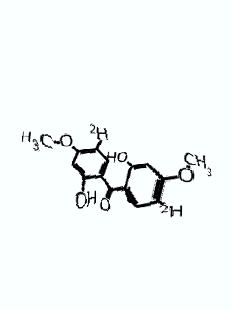 [2H]c1cc(C(=O)c2cc([2H])c(OC)cc2O)c(O)cc1OC